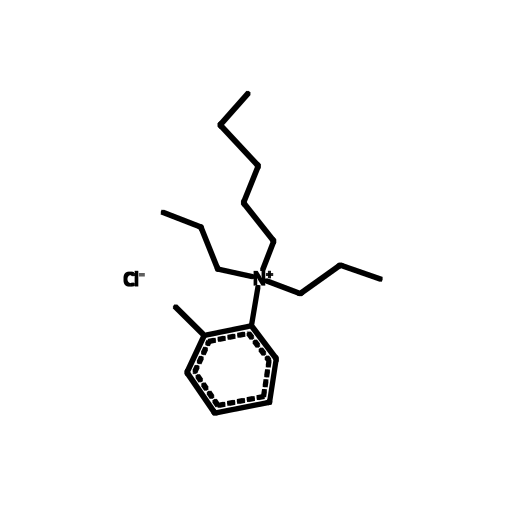 CCCCC[N+](CCC)(CCC)c1ccccc1C.[Cl-]